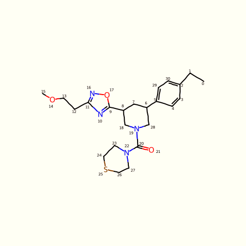 CCc1ccc(C2CC(c3nc(CCOC)no3)CN(C(=O)N3CCSCC3)C2)cc1